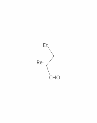 CCCCC=O.[Re]